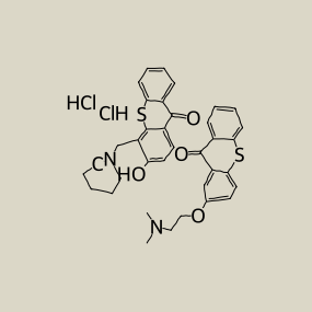 CN(C)CCOc1ccc2sc3ccccc3c(=O)c2c1.Cl.Cl.O=c1c2ccccc2sc2c(CN3CCCCC3)c(O)ccc12